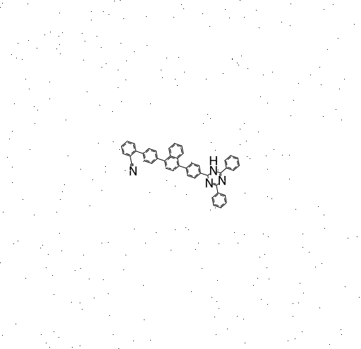 N#Cc1ccccc1-c1ccc(-c2ccc(-c3ccc(C4N=C(c5ccccc5)N=C(c5ccccc5)N4)cc3)c3ccccc23)cc1